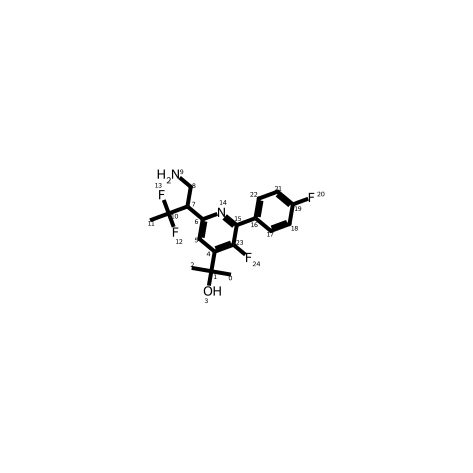 CC(C)(O)c1cc(C(CN)C(C)(F)F)nc(-c2ccc(F)cc2)c1F